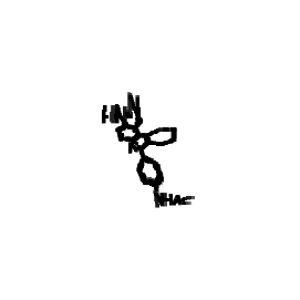 CC(=O)Nc1ccc(-c2nc3ccc4[nH]ncc4c3c3c2CCCC3)cc1